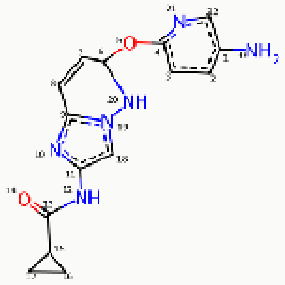 Nc1ccc(OC2C=Cc3nc(NC(=O)C4CC4)cn3N2)nc1